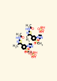 CC(=O)Nc1nc(C)c(-c2ccc(S(C)(=O)=O)c(-n3ccnc3)c2)s1.CC(=O)Nc1nc(C)c(-c2ccc(S(C)(=O)=O)c(-n3ccnc3)c2)s1.O.O=S(=O)(O)O.O=S(=O)(O)O